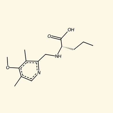 CCC[C@H](NCc1ncc(C)c(OC)c1C)C(=O)O